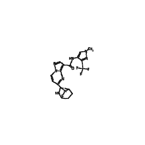 Cn1cc(NC(=O)c2cnn3ccc(N4CC5CCC4CN5)nc23)c(C(F)(F)F)n1